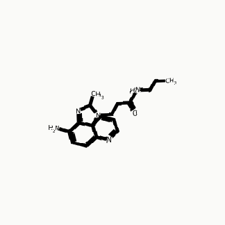 CCCNC(=O)CCN1C(C)N=C2C(N)=CC=C3N=CC=CC321